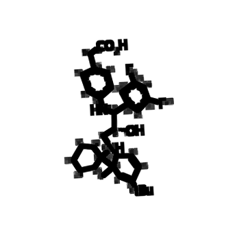 CC(C)(C)C1=CC(C)(C2(NC[C@@H](O)C(Nc3ccc(CC(=O)O)cc3)c3cc(F)cc(F)c3)CCCCC2)CC=C1